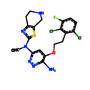 Nc1nnc(N(C=O)c2nc3c(s2)CNCC3)cc1OCCc1c(Cl)ccc(F)c1Cl